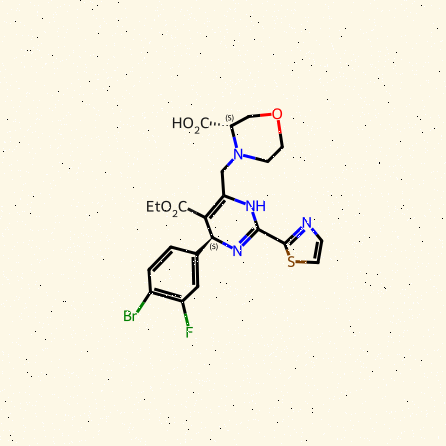 CCOC(=O)C1=C(CN2CCOC[C@H]2C(=O)O)NC(c2nccs2)=N[C@H]1c1ccc(Br)c(F)c1